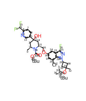 C[C@H]1C[C@](O)(c2ccc(C(F)F)nc2)C[C@@H](COc2cc(C(F)(F)F)c3c(c2)c(F)nn3C2CC(C)(O[Si](C)(C)C(C)(C)C)C2)N1C(=O)OC(C)(C)C